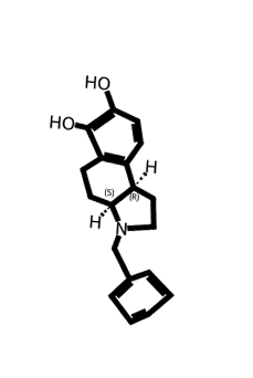 Oc1ccc2c(c1O)CC[C@H]1[C@@H]2CCN1Cc1ccccc1